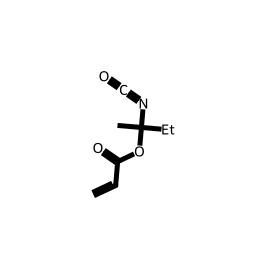 C=CC(=O)OC(C)(CC)N=C=O